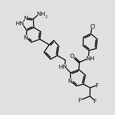 Nc1n[nH]c2ncc(-c3ccc(CNc4ncc(C(F)C(F)F)cc4C(=O)Nc4ccc(Cl)cc4)cc3)cc12